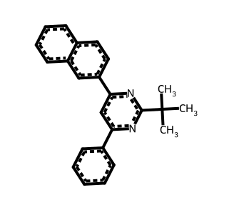 CC(C)(C)c1nc(-c2ccccc2)cc(-c2ccc3ccccc3c2)n1